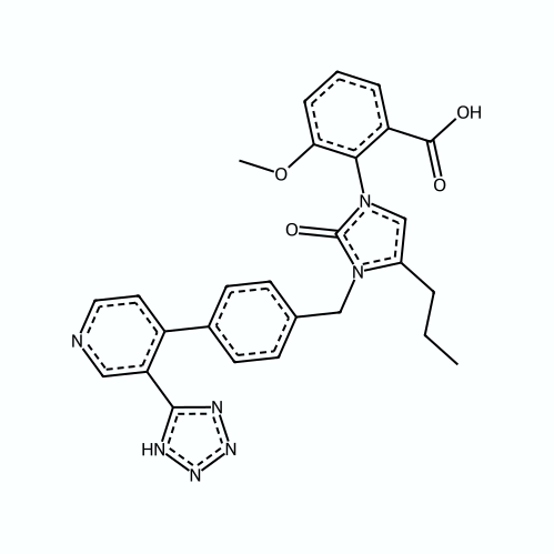 CCCc1cn(-c2c(OC)cccc2C(=O)O)c(=O)n1Cc1ccc(-c2ccncc2-c2nnn[nH]2)cc1